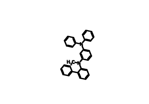 CN(c1cccc(N(c2ccccc2)c2ccccc2)c1)c1ccccc1-c1ccccc1